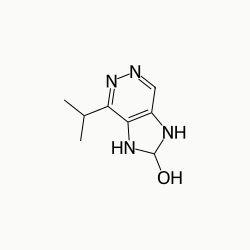 CC(C)c1nncc2c1NC(O)N2